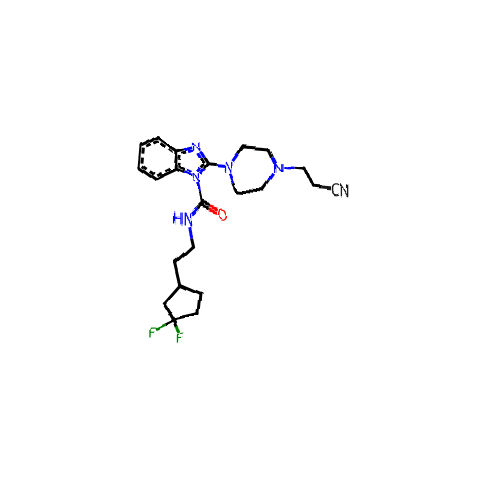 N#CCCN1CCN(c2nc3ccccc3n2C(=O)NCCC2CCC(F)(F)C2)CC1